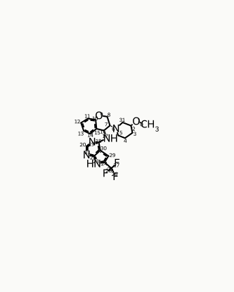 CO[C@H]1CCCN([C@H]2COc3ccccc3[C@@H]2Nc2ncnc3[nH]c(C(F)(F)F)cc23)C1